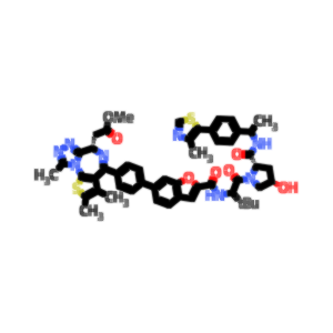 COC(=O)C[C@@H]1N=C(c2ccc(-c3ccc4cc(C(=O)NC(C(=O)N5C[C@H](O)C[C@H]5C(=O)NC(C)c5ccc(-c6scnc6C)cc5)C(C)(C)C)oc4c3)cc2)c2c(sc(C)c2C)-n2c(C)nnc21